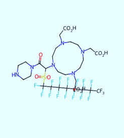 O=C(O)CN1CCN(CC(=O)O)CCN(C(C(=O)N2CCNCC2)S(=O)(=O)C(F)(F)C(F)(F)C(F)(F)C(F)(F)C(F)(F)C(F)(F)C(F)(F)C(F)(F)F)CCN(CC(=O)O)CC1